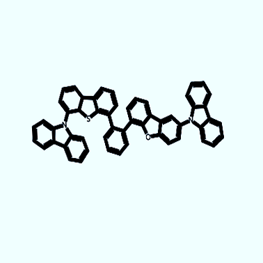 C1=CC2c3cccc(-c4ccccc4-c4cccc5c4oc4ccc(-n6c7ccccc7c7ccccc76)cc45)c3SC2C(n2c3ccccc3c3ccccc32)=C1